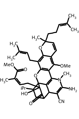 COC(=O)/C(C)=C\CC1(O)C(=O)C2CC(C(C)C)C13Oc1c(CC=C(C)C)c4c(c(OC)c1C1=C3C2C(C#N)=C(N)N1C)C=CC(C)(CCC=C(C)C)O4